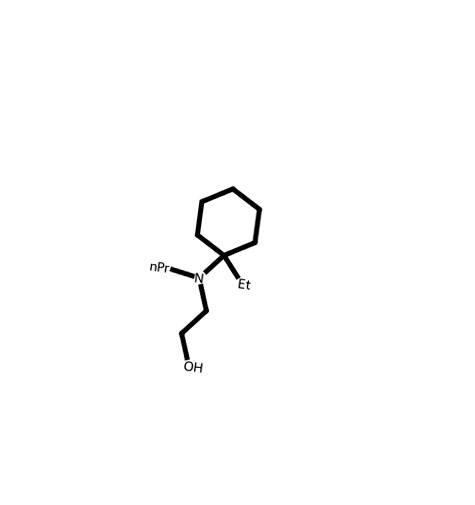 CCCN(CCO)C1(CC)CCCCC1